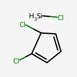 ClC1=CC=CC1Cl.[SiH3]Cl